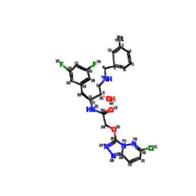 CCc1cccc(CNC[C@H](O)[C@H](Cc2cc(F)cc(F)c2)NC(=O)COc2nnc3ccc(Cl)nn23)c1